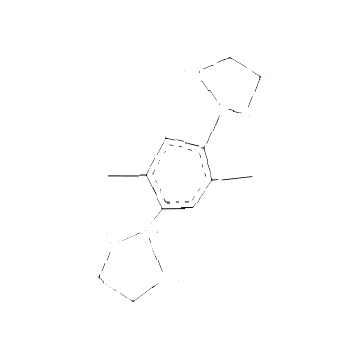 Cc1cc(B2OCCO2)c(C)cc1B1OCCO1